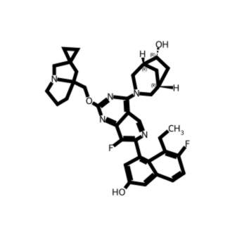 CCc1c(F)ccc2cc(O)cc(-c3ncc4c(N5C[C@@H]6C[C@H](C5)[C@H](O)C6)nc(OCC56CCCN5CC5(CC5)C6)nc4c3F)c12